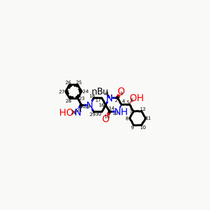 CCCCN1C(=O)[C@@H]([C@H](O)C2CCCCC2)NC(=O)C12CCN(C(=NO)c1ccccc1)CC2